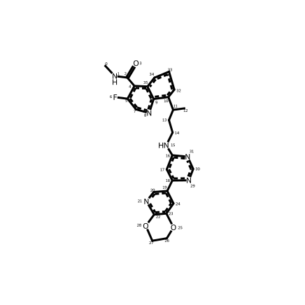 CNC(=O)c1c(F)cnc2c(C(C)CCNc3cc(-c4cnc5c(c4)OCCO5)ncn3)cccc12